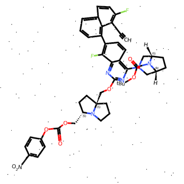 C#Cc1c(F)ccc2cccc(-c3ccc4c(N5C[C@H]6CC[C@@H](C5)N6C(=O)OC(C)(C)C)nc(OC[C@@]56CCCN5[C@H](COC(=O)Oc5ccc([N+](=O)[O-])cc5)CC6)nc4c3F)c12